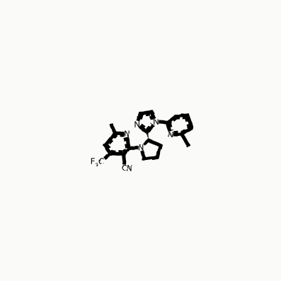 Cc1cccc(-n2ccnc2[C@@H]2CCCN2c2nc(C)cc(C(F)(F)F)c2C#N)n1